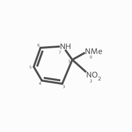 CNC1([N+](=O)[O-])C=CC=CN1